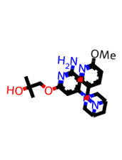 COc1ccc(CN2C3CC2CN(c2[c]c(N)nc(OCC(C)(C)O)c2)C3)cn1